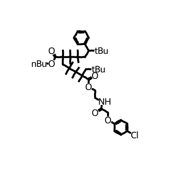 CCCCOC(=O)C(C)(CC(C)(C)C(C)(C)C(C)(CC(C)(C)C)C(=O)OCCNC(=O)COc1ccc(Cl)cc1)C(C)(C)C(C)(C)CC(c1ccccc1)C(C)(C)C